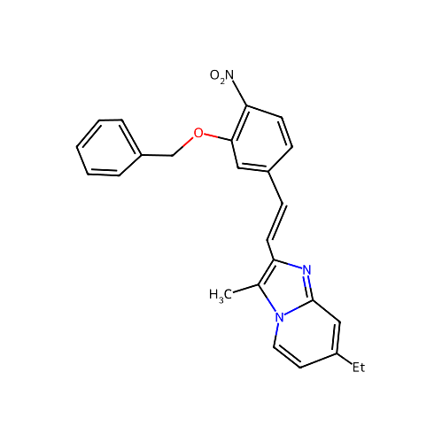 CCc1ccn2c(C)c(C=Cc3ccc([N+](=O)[O-])c(OCc4ccccc4)c3)nc2c1